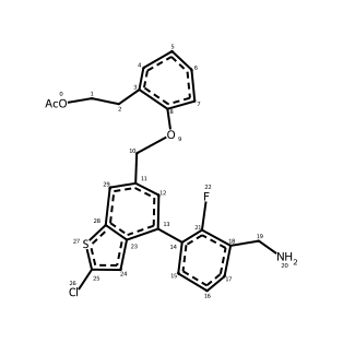 CC(=O)OCCc1ccccc1OCc1cc(-c2cccc(CN)c2F)c2cc(Cl)sc2c1